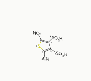 N#Cc1sc(C#N)c(S(=O)(=O)O)c1S(=O)(=O)O